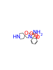 NS(=O)(=O)C1(N2COC3(CCNCC3)C2)C=CC=CC1=O